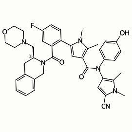 Cc1c(N(C(=O)c2cc(-c3ccc(F)cc3C(=O)N3Cc4ccccc4C[C@H]3CN3CCOCC3)n(C)c2C)c2ccc(O)cc2)cc(C#N)n1C